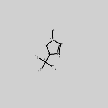 CN1[C]C(C(F)(F)F)N=[C]1